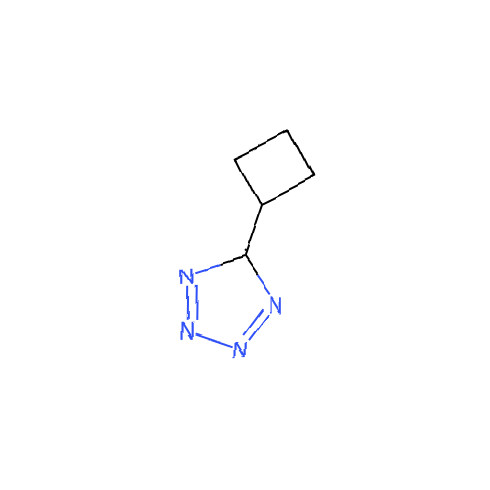 C1CC([C]2N=NN=N2)C1